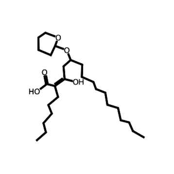 CCCCCCCCCCCC(CC(O)=C(CCCCCC)C(=O)O)OC1CCCCO1